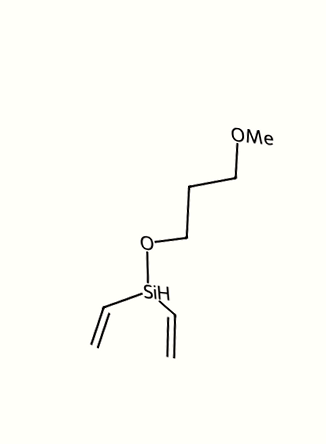 C=C[SiH](C=C)OCCCOC